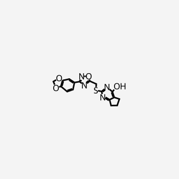 Oc1nc(SCc2nc(-c3ccc4c(c3)OCO4)no2)nc2c1CCC2